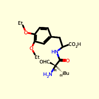 CCOc1ccc(CC(NC(=O)[C@](N)(C=O)[C@@H](C)CC)C(=O)O)cc1OCC